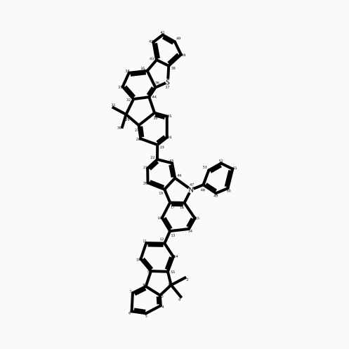 CC1(C)c2ccccc2-c2ccc(-c3ccc4c(c3)c3ccc(-c5ccc6c(c5)C(C)(C)c5ccc7c(sc8ccccc87)c5-6)cc3n4-c3ccccc3)cc21